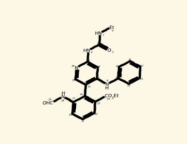 CCNC(=O)Nc1cc(Nc2ccccc2)c(-c2c(NC=O)cccc2C(=O)OCC)cn1